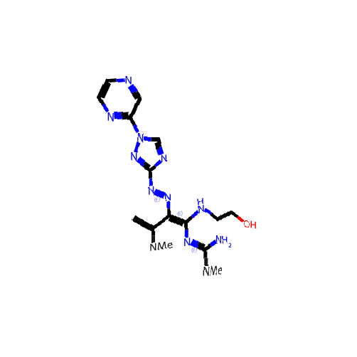 C=C(NC)C(/N=N/c1ncn(-c2cnccn2)n1)=C(\N=C(/N)NC)NCCO